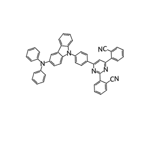 N#Cc1ccccc1-c1cc(-c2ccc(-n3c4ccccc4c4cc(N(c5ccccc5)c5ccccc5)ccc43)cc2)nc(-c2ccccc2C#N)n1